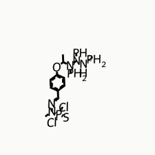 CC(Oc1ccc(C=NN(C)P(=S)(Cl)Cl)cc1)N(P)N(P)NP